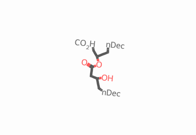 CCCCCCCCCCCC(O)CC(=O)OC(CCCCCCCCCCC)CC(=O)O